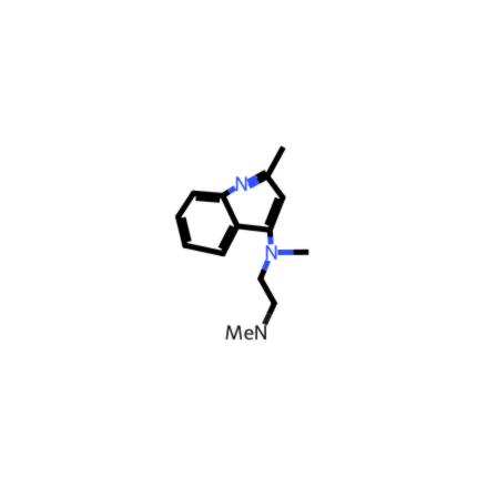 CNCCN(C)c1cc(C)nc2ccccc12